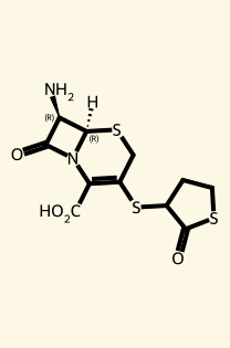 N[C@@H]1C(=O)N2C(C(=O)O)=C(SC3CCSC3=O)CS[C@H]12